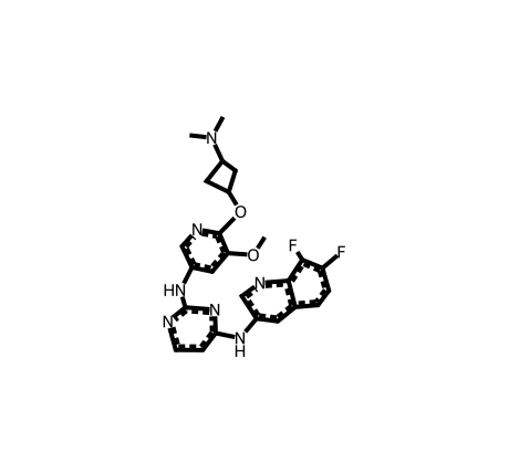 COc1cc(Nc2nccc(Nc3cnc4c(F)c(F)ccc4c3)n2)cnc1OC1CC(N(C)C)C1